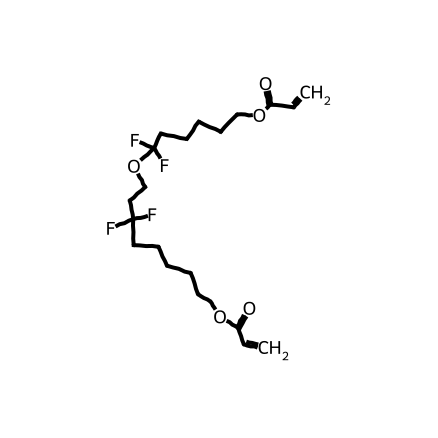 C=CC(=O)OCCCCCCC(F)(F)CCOC(F)(F)CCCCCOC(=O)C=C